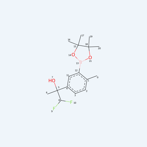 Cc1ccc(C(C)(O)C(F)F)cc1B1OC(C)(C)C(C)(C)O1